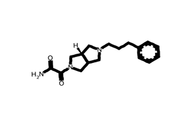 NC(=O)C(=O)N1CC2CN(CC[CH]c3ccccc3)C[C@H]2C1